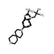 CC(C)(O)Cn1c(N)nc2cc(N3CCC4(CCOCC4)CC3)ccc21